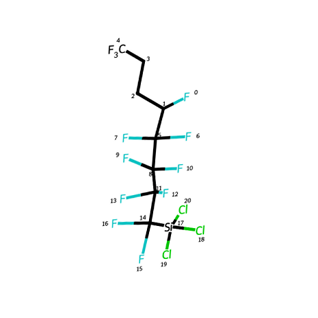 FC(CCC(F)(F)F)C(F)(F)C(F)(F)C(F)(F)C(F)(F)[Si](Cl)(Cl)Cl